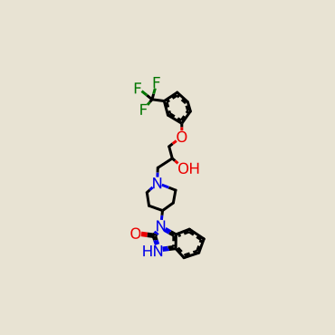 O=c1[nH]c2ccccc2n1C1CCN(CC(O)COc2cccc(C(F)(F)F)c2)CC1